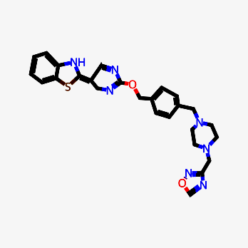 [C]1=NC(OCc2ccc(CN3CCN(Cc4ncon4)CC3)cc2)=NCC1=C1Nc2ccccc2S1